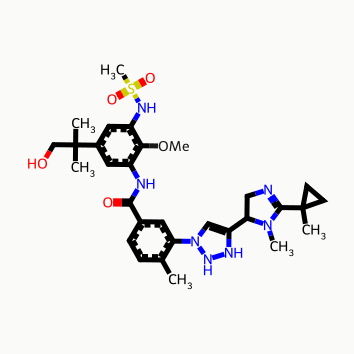 COc1c(NC(=O)c2ccc(C)c(N3C=C(C4CN=C(C5(C)CC5)N4C)NN3)c2)cc(C(C)(C)CO)cc1NS(C)(=O)=O